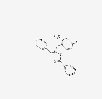 Cc1cc(F)ccc1CN(Cc1ccccc1)OC(=O)c1ccccc1